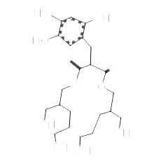 CCCCC(CC)COC(=O)C(Cc1cc(O)c(O)cc1O)C(=O)OCC(CC)CCCC